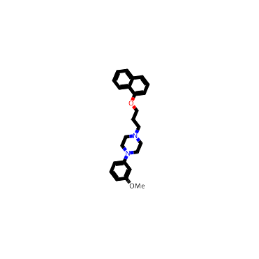 COc1cccc(N2CCN(C[CH]COc3cccc4ccccc34)CC2)c1